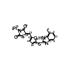 Cc1cccc2nc(Sc3ccc(/C=C4\SC(=O)N(C(C)C)C4=O)o3)[nH]c12